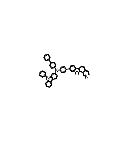 c1ccc(-c2ccc(N(c3ccc(-c4ccc5c(c4)oc4c6cnccc6ccc54)cc3)c3ccc4c5ccccc5n(-c5ccccc5)c4c3)cc2)cc1